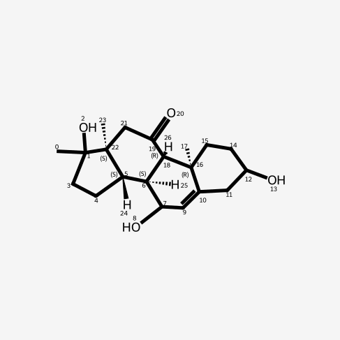 CC1(O)CC[C@H]2[C@@H]3C(O)C=C4CC(O)CC[C@]4(C)[C@@H]3C(=O)C[C@@]21C